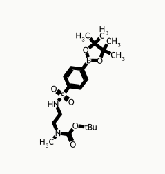 CN(CCNS(=O)(=O)c1ccc(B2OC(C)(C)C(C)(C)O2)cc1)C(=O)OC(C)(C)C